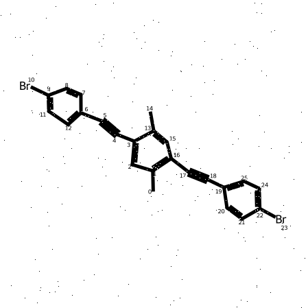 Cc1cc(C#Cc2ccc(Br)cc2)c(C)cc1C#Cc1ccc(Br)cc1